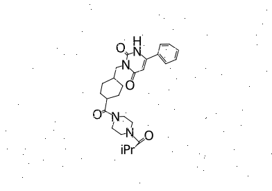 CC(C)C(=O)N1CCN(C(=O)C2CCC(Cn3c(=O)cc(-c4ccccc4)[nH]c3=O)CC2)CC1